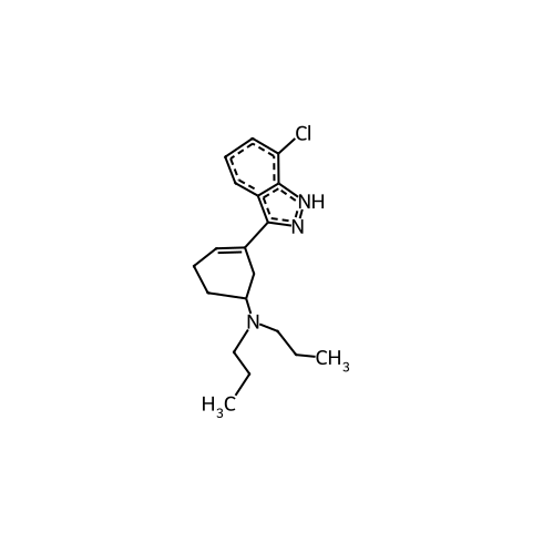 CCCN(CCC)C1CCC=C(c2n[nH]c3c(Cl)cccc23)C1